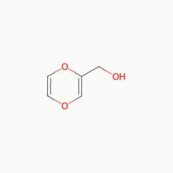 OCC1=COC=CO1